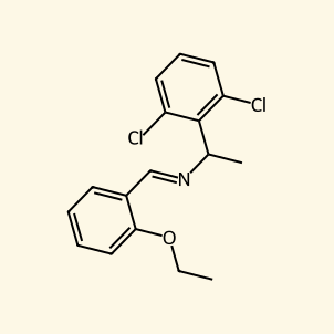 CCOc1ccccc1C=NC(C)c1c(Cl)cccc1Cl